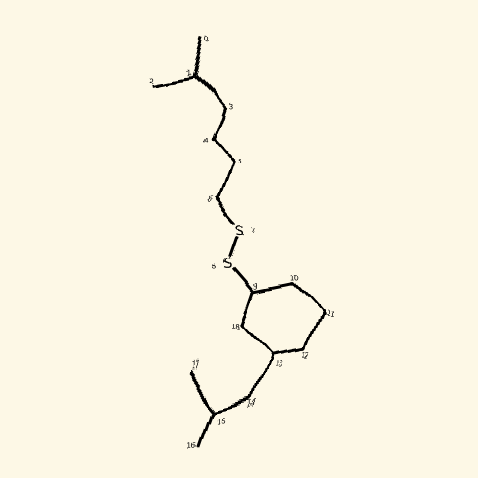 CC(C)CCCCSSC1CCCC(CC(C)C)C1